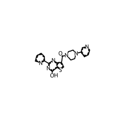 O=C(c1csc2c(O)nc(-c3ccccn3)nc12)N1CCN(c2cccnc2)CC1